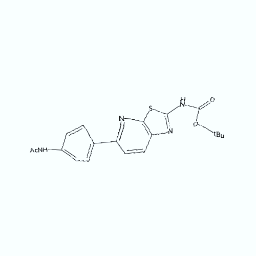 CC(=O)Nc1ccc(-c2ccc3nc(NC(=O)OC(C)(C)C)sc3n2)cc1